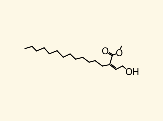 CCCCCCCCCCCCCC(=CCO)C(=O)OC